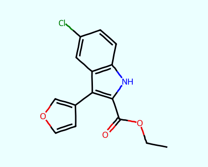 CCOC(=O)c1[nH]c2ccc(Cl)cc2c1-c1ccoc1